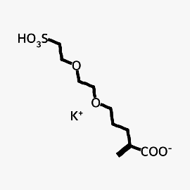 C=C(CCCOCCOCCS(=O)(=O)O)C(=O)[O-].[K+]